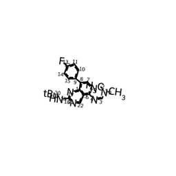 CN(C)/C=N\c1ncc(-c2ccc(F)cc2)c2nc(NC(C)(C)C)ncc12